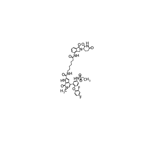 CCS(=O)(=O)Nc1ccc(Oc2ccc(F)cc2F)c(-c2cn(C)c(=O)c3[nH]c(C(=O)NCCCCCCC(=O)Nc4cccc5c4CN(C4CCC(=O)NC4=O)C5=O)cc23)c1